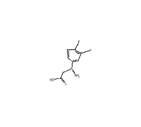 NN(CC(=O)O)c1ccc(F)c(F)c1